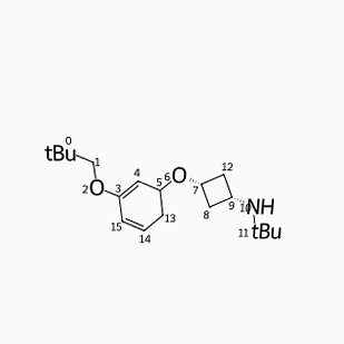 CC(C)(C)COC1=CC(O[C@H]2C[C@@H](NC(C)(C)C)C2)CC=C1